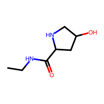 CCNC(=O)C1CC(O)CN1